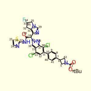 CC(C)(C)OC(=O)N1CC(c2ccc(-c3cc(Cl)c4cn(C(C(=O)Nc5nccs5)c5ncn6c5C[C@@H](F)C6)nc4c3Cl)cc2)C1